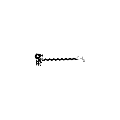 CCCCCCCCCCCCCCCCCCNC1(c2ccccc2)C=NN=N1